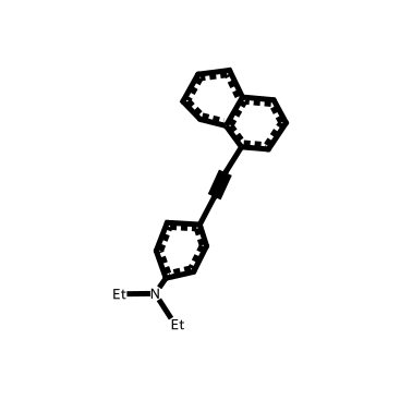 CCN(CC)c1ccc(C#Cc2cccc3ccccc23)cc1